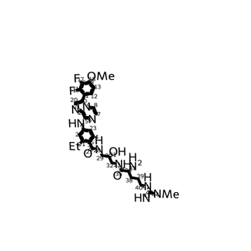 CCc1cc(Nc2nccn3c(-c4ccc(OC)c(F)c4F)cnc23)ccc1C(=O)NCC(O)CNC(=O)[C@@H](N)CCCNC(=N)NC